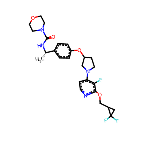 C[C@H](NC(=O)N1CCOCC1)c1ccc(OC2CCN(c3ccnc(OCC4CC4(F)F)c3F)C2)cc1